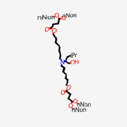 CCCCCCCCCOC(CCC(=O)OCCCCCCCN(CCCCCCCOC(=O)CCC(OCCCCCCCCC)OCCCCCCCCC)C(CO)CC(C)C)OCCCCCCCCC